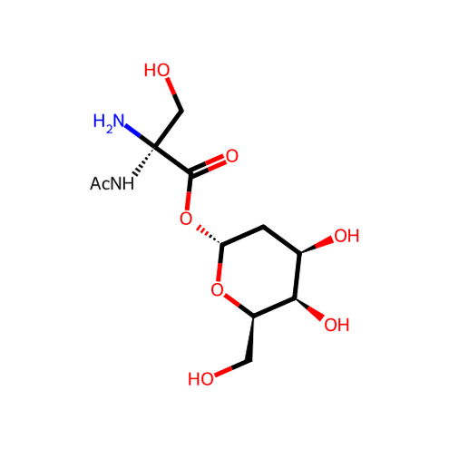 CC(=O)N[C@](N)(CO)C(=O)O[C@@H]1C[C@@H](O)[C@@H](O)[C@@H](CO)O1